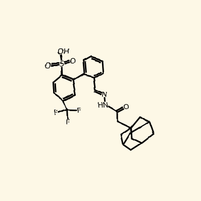 O=C(CC12CC3CC(CC(C3)C1)C2)NN=Cc1ccccc1-c1cc(C(F)(F)F)ccc1S(=O)(=O)O